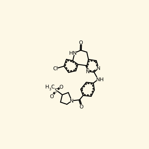 CS(=O)(=O)C1CCN(C(=O)c2ccc(Nc3ncc4c(n3)-c3ccc(Cl)cc3NC(=O)C4)cc2)C1